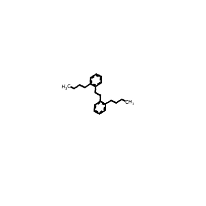 CCCCc1ccccc1CCc1ccccc1CCCC